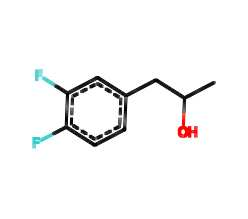 CC(O)Cc1ccc(F)c(F)c1